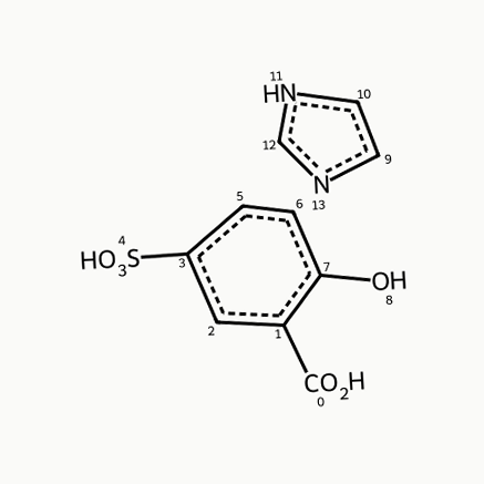 O=C(O)c1cc(S(=O)(=O)O)ccc1O.c1c[nH]cn1